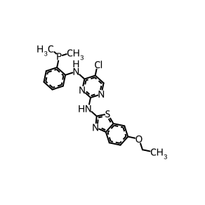 CCOc1ccc2nc(Nc3ncc(Cl)c(Nc4ccccc4P(C)C)n3)sc2c1